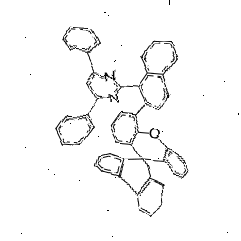 C1=CC2=C(CC1)C1(c3ccccc3Oc3c(-c4ccc5ccccc5c4-c4nc(-c5ccccc5)cc(-c5ccccc5)n4)cccc31)c1ccccc12